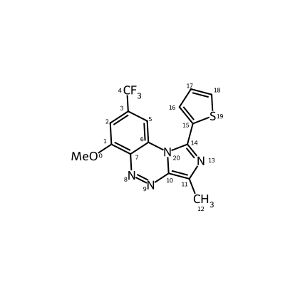 COc1cc(C(F)(F)F)cc2c1nnc1c(C)nc(-c3cccs3)n12